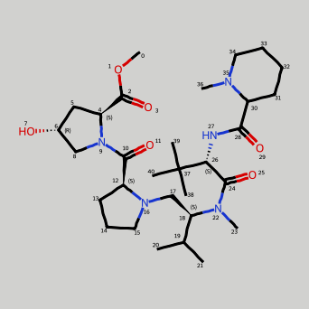 COC(=O)[C@@H]1C[C@@H](O)CN1C(=O)[C@@H]1CCCN1C[C@H](C(C)C)N(C)C(=O)[C@@H](NC(=O)C1CCCCN1C)C(C)(C)C